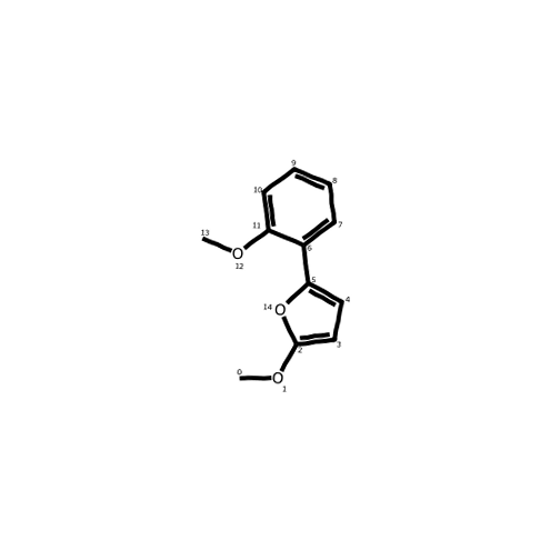 COc1ccc(-c2ccccc2OC)o1